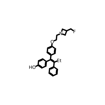 CCC(=C(c1ccc(O)cc1)c1ccc(OCCN2CC(CF)C2)cc1)c1ccccc1